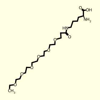 CCOCCOCCOCCOCCOCCOCCC(=O)NCCCC[C@H](N)C(=O)O